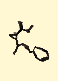 COC(=O)[C@@H]1CC1C(=O)OCc1ccccc1